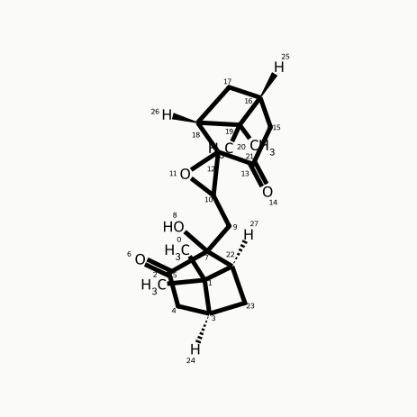 CC1(C)[C@@H]2CC(=O)C(O)(CC3OC34C(=O)C[C@H]3C[C@@H]4C3(C)C)[C@H]1C2